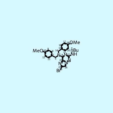 CCCCNc1nc(N(Cc2ccc(OC)cc2)Cc2ccc(OC)cc2)c2nc(Br)cn2n1